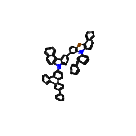 c1ccc(-c2cccc(N3c4cc(-c5ccc6c(c5)c5c7ccccc7ccc5n6-c5ccc6c7ccc(-c8ccccc8)cc7c7ccccc7c6c5)ccc4Sc4c3ccc3ccccc43)c2)cc1